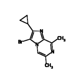 Cc1cn2c(Br)c(C3CC3)nc2c(C)n1